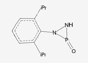 CC(C)c1cccc(C(C)C)c1N1N[P]1=O